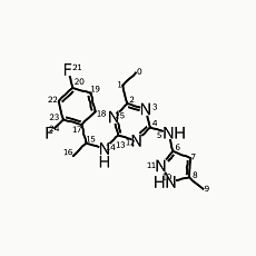 CCc1nc(Nc2cc(C)[nH]n2)nc(NC(C)c2ccc(F)cc2F)n1